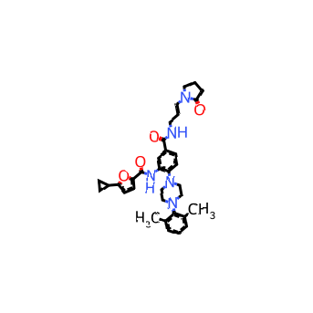 Cc1cccc(C)c1N1CCN(c2ccc(C(=O)NCCCN3CCCC3=O)cc2NC(=O)c2ccc(C3CC3)o2)CC1